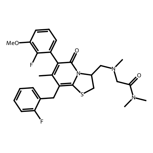 COc1cccc(-c2c(C)c(Cc3ccccc3F)c3n(c2=O)C(CN(C)CC(=O)N(C)C)CS3)c1F